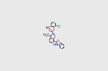 C[C@H]1c2cccc(C(=O)Nc3ccccn3)c2CCN1C(=O)Cc1c(Cl)cccc1C#N